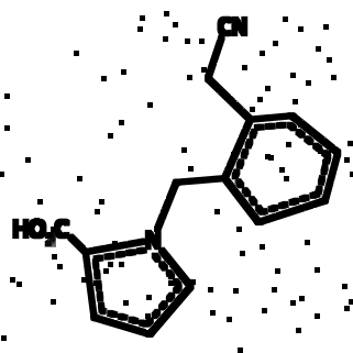 N#CCc1ccccc1Cn1cccc1C(=O)O